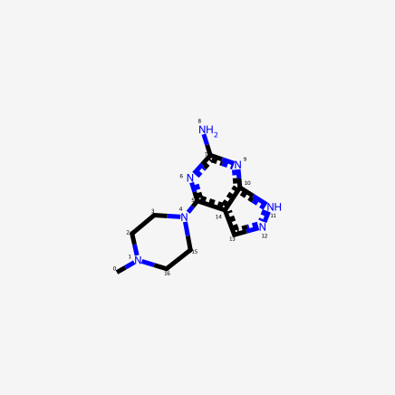 CN1CCN(c2nc(N)nc3[nH]ncc23)CC1